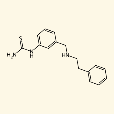 NC(=S)Nc1cccc(CNCCc2ccccc2)c1